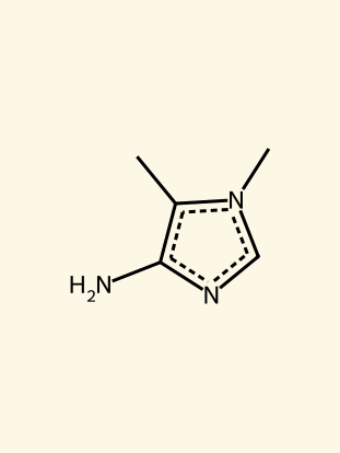 Cc1c(N)ncn1C